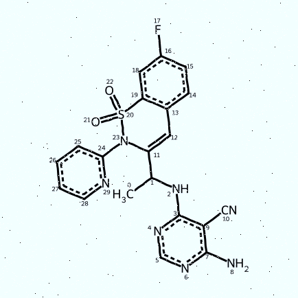 CC(Nc1ncnc(N)c1C#N)C1=Cc2ccc(F)cc2S(=O)(=O)N1c1ccccn1